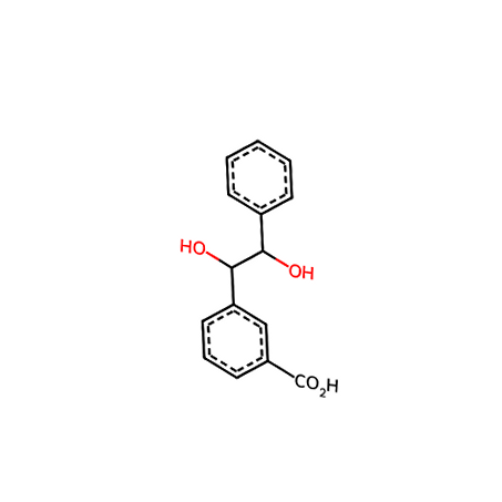 O=C(O)c1cccc(C(O)C(O)c2ccccc2)c1